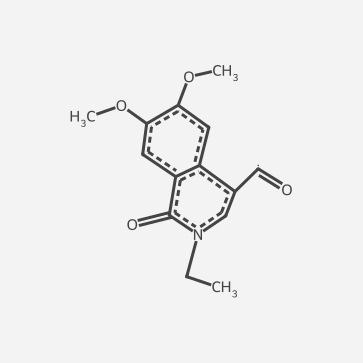 CCn1cc([C]=O)c2cc(OC)c(OC)cc2c1=O